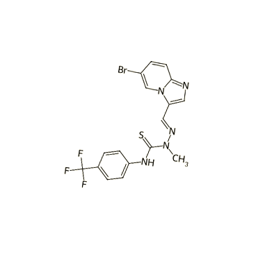 CN(N=Cc1cnc2ccc(Br)cn12)C(=S)Nc1ccc(C(F)(F)F)cc1